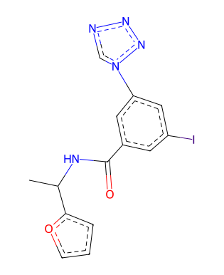 CC(NC(=O)c1cc(I)cc(-n2cnnn2)c1)c1ccco1